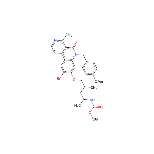 COc1ccc(Cn2c(=O)c3c(C)nccc3c3cc(Br)c(OCC(C)CC(C)NC(=O)OC(C)(C)C)cc32)cc1